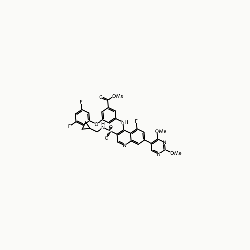 COC(=O)c1cc(Nc2c(S(=O)(=O)NCC3CC3)cnc3cc(-c4cnc(OC)nc4OC)cc(F)c23)cc(Oc2cc(F)cc(F)c2)c1